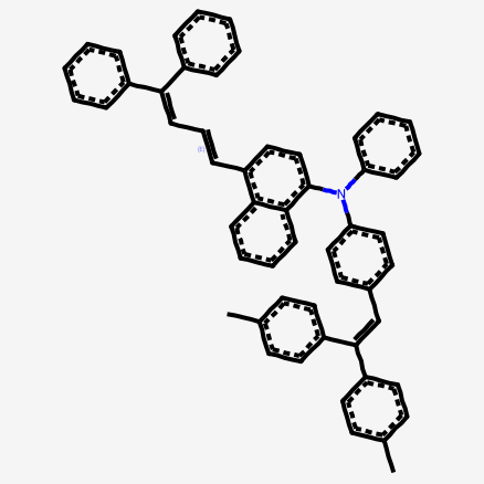 Cc1ccc(C(=Cc2ccc(N(c3ccccc3)c3ccc(/C=C/C=C(c4ccccc4)c4ccccc4)c4ccccc34)cc2)c2ccc(C)cc2)cc1